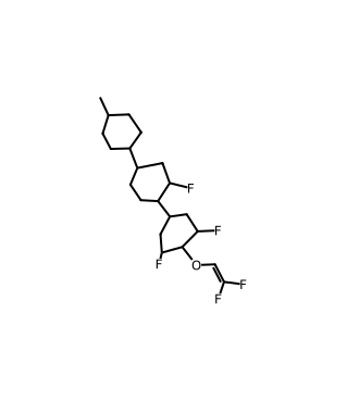 CC1CCC(C2CCC(C3CC(F)C(OC=C(F)F)C(F)C3)C(F)C2)CC1